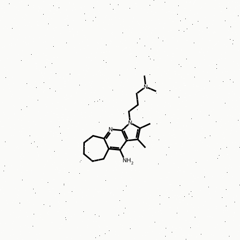 Cc1c(C)n(CCCN(C)C)c2nc3c(c(N)c12)CCCCC3